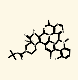 COc1cccc(F)c1-c1nc2c(cc1F)c1c(c(=O)n2-c2c(C(C)C)ncnc2C(C)C)NC(=O)[C@H]2CN(C(=O)OC(C)(C)C)CCN12